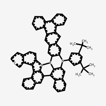 CC(C)(C)c1cc(N2c3cc4cc5c6ccccc6c6ccccc6c5cc4cc3B3c4c2cc2ccccc2c4-c2cc4ccccc4c4c5c6ccccc6ccc5n3c24)cc(C(C)(C)C)c1